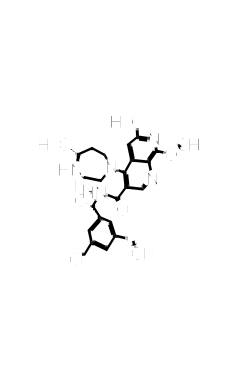 COc1cc(Cl)cc([C@H](C)NC(=O)c2cnc3c(OC)nc(C)cc3c2N2CCN[C@@H](C)CC2)c1